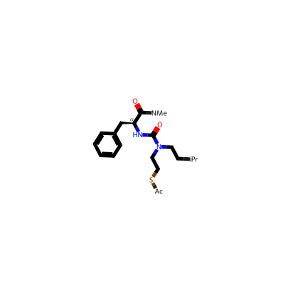 CNC(=O)[C@H](Cc1ccccc1)NC(=O)N(CCSC(C)=O)CCC(C)C